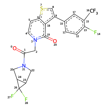 O=C(Cn1ccc2scc(-c3ccc(F)c(C(F)(F)F)c3)c2c1=O)N1CC2C(C1)C2(F)F